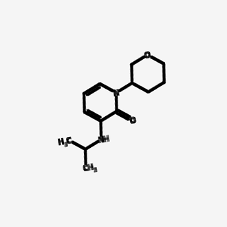 CC(C)Nc1cccn(C2CCCOC2)c1=O